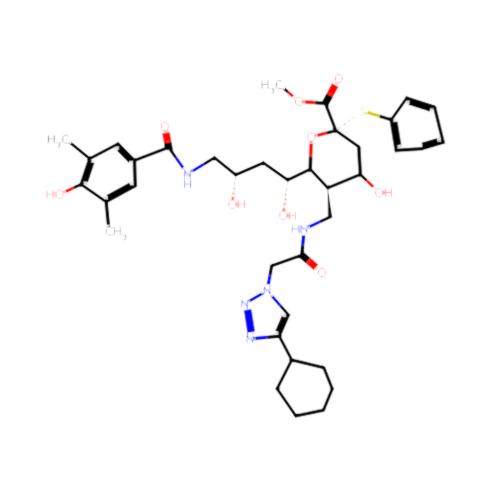 COC(=O)[C@@]1(Sc2ccccc2)CC(O)[C@@H](CNC(=O)Cn2cc(C3CCCCC3)nn2)C([C@H](O)C[C@H](O)CNC(=O)c2cc(C)c(O)c(C)c2)O1